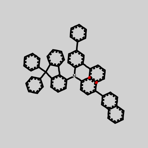 c1ccc(-c2ccc(N(c3ccc(-c4ccc5ccccc5c4)cc3)c3cccc4c3-c3ccccc3C4(c3ccccc3)c3ccccc3)c(-c3ccccc3)c2)cc1